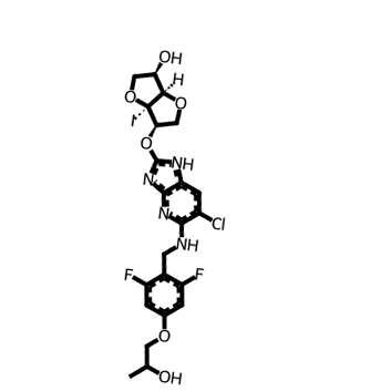 CC(O)COc1cc(F)c(CNc2nc3nc(O[C@@H]4CO[C@@H]5[C@H](O)CO[C@@]54I)[nH]c3cc2Cl)c(F)c1